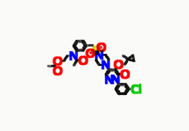 CC(=O)OCCN(C(C)=O)c1cccc(CS(=O)(=O)N2CCN(c3cnn(-c4cccc(Cl)c4)c(=O)c3OCC3(C)CC3)CC2)c1